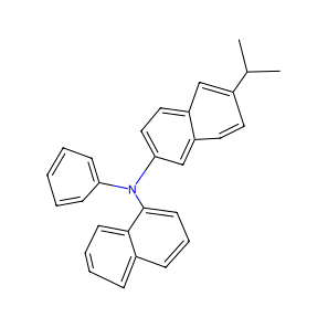 CC(C)c1ccc2cc(N(c3ccccc3)c3cccc4ccccc34)ccc2c1